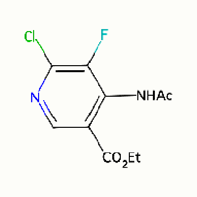 CCOC(=O)c1cnc(Cl)c(F)c1NC(C)=O